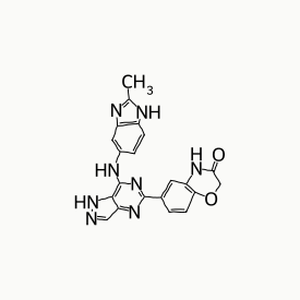 Cc1nc2cc(Nc3nc(-c4ccc5c(c4)NC(=O)CO5)nc4cn[nH]c34)ccc2[nH]1